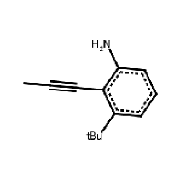 CC#Cc1c(N)cccc1C(C)(C)C